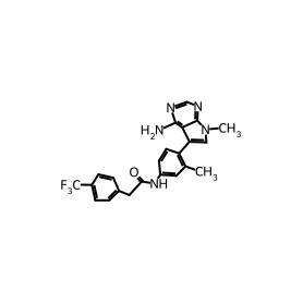 Cc1cc(NC(=O)Cc2ccc(C(F)(F)F)cc2)ccc1-c1cn(C)c2ncnc(N)c12